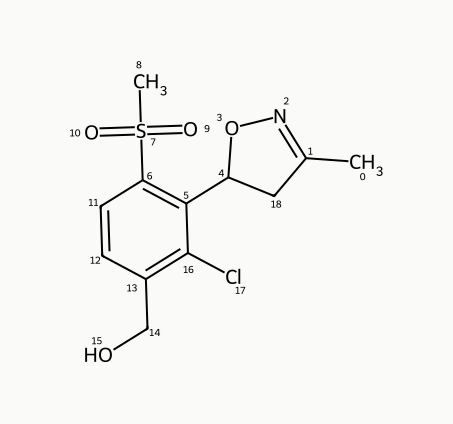 CC1=NOC(c2c(S(C)(=O)=O)ccc(CO)c2Cl)C1